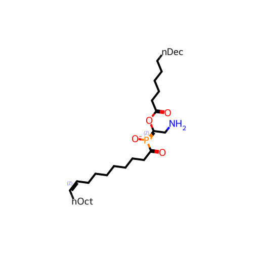 CCCCCCCC/C=C\CCCCCCCC(=O)/[P+]([O-])=C(\CN)OC(=O)CCCCCCCCCCCCCCC